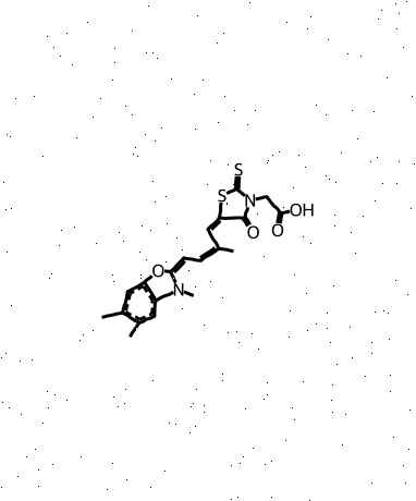 CC(=CC=C1Oc2cc(C)c(C)cc2N1C)C=C1SC(=S)N(CC(=O)O)C1=O